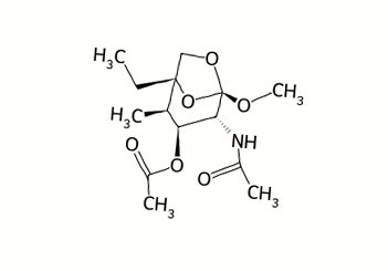 CC[C@@]12CO[C@@](OC)(O1)[C@H](NC(C)=O)[C@@H](OC(C)=O)[C@H]2C